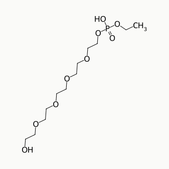 CCOP(=O)(O)OCCOCCOCCOCCOCCO